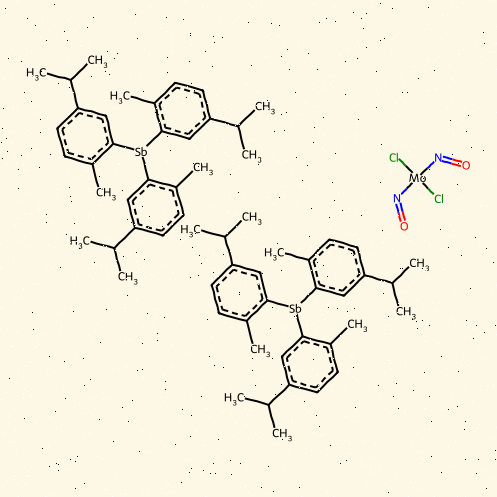 Cc1ccc(C(C)C)c[c]1[Sb]([c]1cc(C(C)C)ccc1C)[c]1cc(C(C)C)ccc1C.Cc1ccc(C(C)C)c[c]1[Sb]([c]1cc(C(C)C)ccc1C)[c]1cc(C(C)C)ccc1C.O=[N][Mo]([Cl])([Cl])[N]=O